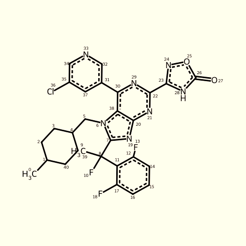 CC1CCC(Cn2c(C(C)(F)c3c(F)cccc3F)nc3nc(-c4noc(=O)[nH]4)nc(-c4cncc(Cl)c4)c32)CC1